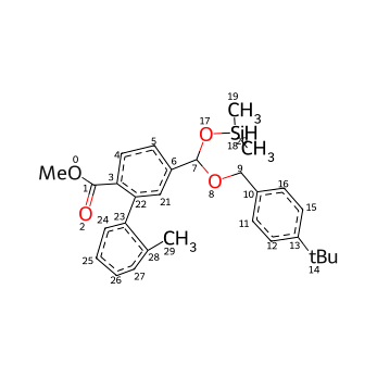 COC(=O)c1ccc(C(OCc2ccc(C(C)(C)C)cc2)O[SiH](C)C)cc1-c1ccccc1C